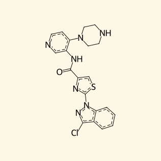 O=C(Nc1cnccc1N1CCNCC1)c1csc(-n2nc(Cl)c3ccccc32)n1